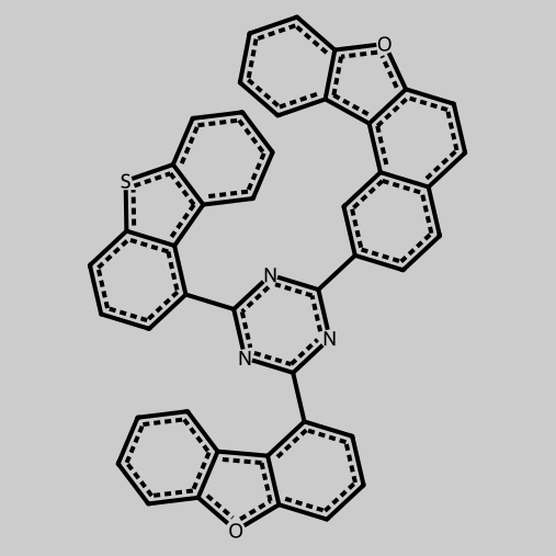 c1ccc2c(c1)oc1cccc(-c3nc(-c4ccc5ccc6oc7ccccc7c6c5c4)nc(-c4cccc5sc6ccccc6c45)n3)c12